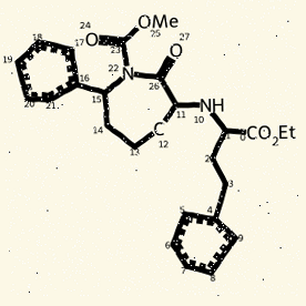 CCOC(=O)C(CCc1ccccc1)NC1CCCC(c2ccccc2)N(C(=O)OC)C1=O